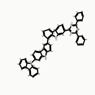 c1ccc(-c2nc(-c3ccccc3)nc(-c3ccc4c(c3)oc3c(-c5ccc6sc7cc(-n8c9ccccc9c9ccccc98)ccc7c6c5)cccc34)n2)cc1